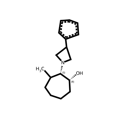 CC1CCCC[C@@H](O)[C@H]1N1CC(c2ccccc2)C1